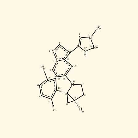 CC(C)N1N=C(c2cnn3ccc(N4CC[C@H]5C[C@]54c4cc(F)ccc4F)nc23)NN1